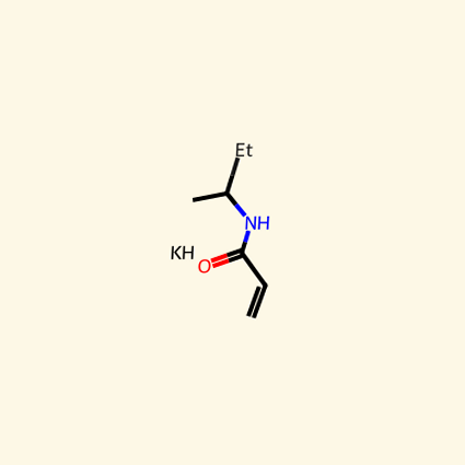 C=CC(=O)NC(C)CC.[KH]